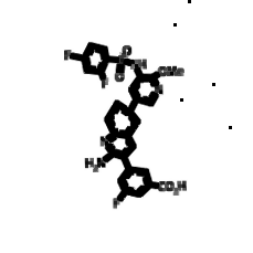 COc1ncc(-c2ccc3nc(N)c(-c4cc(F)cc(C(=O)O)c4)cc3c2)cc1NS(=O)(=O)c1ccc(F)cc1F